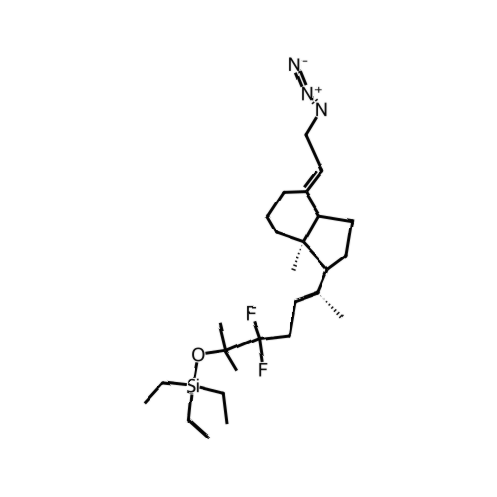 CC[Si](CC)(CC)OC(C)(C)C(F)(F)CC[C@@H](C)C1CCC2/C(=C/CN=[N+]=[N-])CCC[C@@]21C